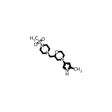 Cc1cc(N2CCOC(CN3CCN(S(C)(=O)=O)CC3)C2)c[nH]1